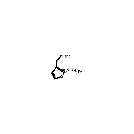 CCCCCCc1ccsc1.S.S.[Fe]